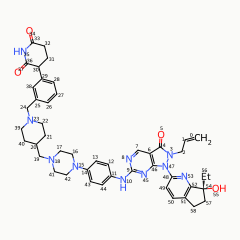 C=CCn1c(=O)c2cnc(Nc3ccc(N4CCN(CC5CCN(Cc6cccc(C7CCC(=O)NC7=O)c6)CC5)CC4)cc3)nc2n1-c1ccc2c(n1)[C@@](O)(CC)CC2